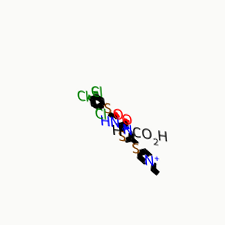 C=CC[n+]1ccc(SCC2=C(C(=O)O)N3C(=O)[C@H](NC(=O)CSc4cc(Cl)c(Cl)cc4Cl)[C@H]3SC2)cc1